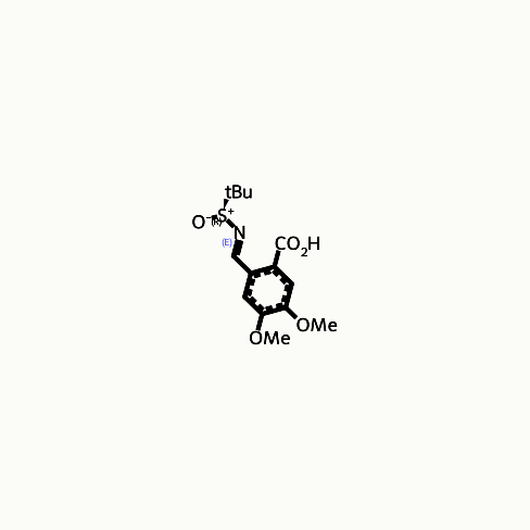 COc1cc(/C=N/[S@@+]([O-])C(C)(C)C)c(C(=O)O)cc1OC